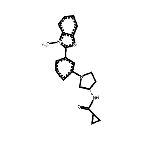 Cn1c(-c2cccc(N3CC[C@H](NC(=O)C4CC4)C3)c2)nc2ccccc21